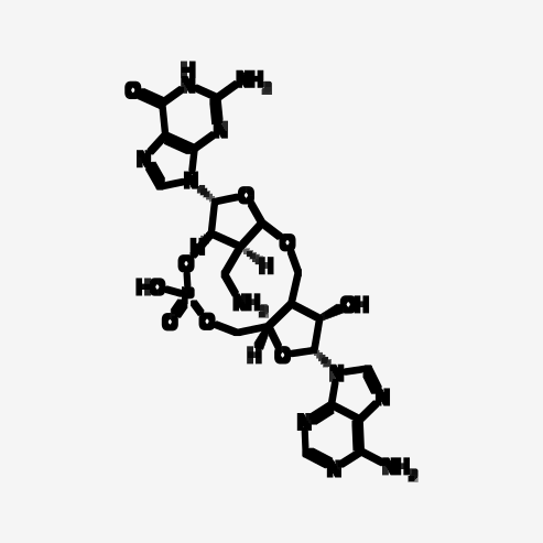 NC[C@@H]1C2OCC3[C@@H](O)[C@H](n4cnc5c(N)ncnc54)O[C@@H]3COP(=O)(O)O[C@H]1[C@H](n1cnc3c(=O)[nH]c(N)nc31)O2